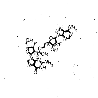 Nc1nc2c(ncn2[C@@H]2O[C@H](CO)[C@@H](F)[C@H]2P(O)(=S)OCC[C@H]2O[C@@H](n3nnc4c(N)ncnc43)[C@@H](F)[C@@H]2O)c(=O)[nH]1